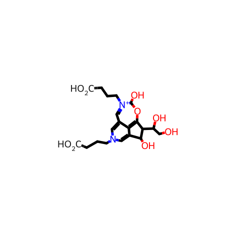 O=C(O)CCCN1C=C2C=[N+](CCCC(=O)O)C(O)OC3=C2C(=C1)C(O)C3C(O)CO